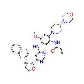 C=CC(=O)Nc1cc(Nc2cc(N3OCC[C@@H]3c3ccc4ccccc4c3)ncn2)c(OC)cc1N1CCC(N2CCOCC2)CC1